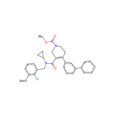 COc1cccc(CN(C(=O)C2=C(c3cccc(-c4ccccc4)c3)CCN(C(=O)OC(C)(C)C)C2)C2CC2)c1Cl